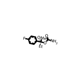 CC[C@](OC)(OC(N)=O)c1ccc(F)cc1